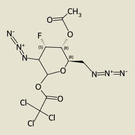 CC(=O)O[C@@H]1[C@@H](CN=[N+]=[N-])OC(OC(=O)C(Cl)(Cl)Cl)C(N=[N+]=[N-])[C@@H]1F